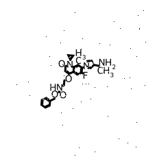 Cc1c(N2CC[C@@H]([C@H](C)N)C2)c(F)cc2c(OCCNC(=O)OCc3ccccc3)cc(=O)n(C3CC3)c12